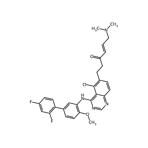 COc1ccc(-c2ccc(F)cc2F)cc1Nc1ncnc2ccc(CCC(=O)/C=C/CN(C)C)c(Cl)c12